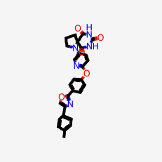 Cc1ccc(-c2coc(-c3ccc(Oc4ccc(N5CCCC56C(=O)NC(=O)NC6=O)cn4)cc3)n2)cc1